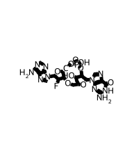 Nc1nc2c(ncn2C2OC3COC4C(COP(=O)(O)OC2C3O)OC(n2cnc3c(N)ncnc32)C4F)c(=O)[nH]1